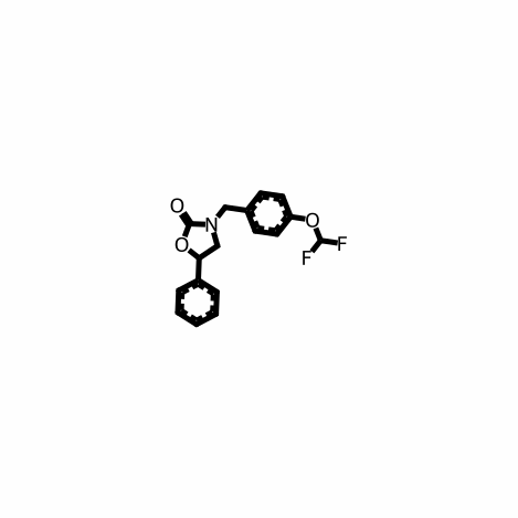 O=C1OC(c2ccccc2)CN1Cc1ccc(OC(F)F)cc1